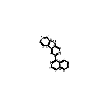 c1ccc2c(-c3cc4c(cn3)oc3cnccc34)nccc2c1